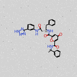 C[C@@H](NC(=O)c1cc(=O)cc(C(=O)N[C@H](CC(=O)Nc2cccc(-c3nn[nH]n3)c2)Cc2ccccc2)o1)c1ccccc1